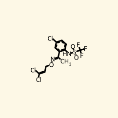 C/C(=N\OCC=C(Cl)Cl)c1cc(Cl)ccc1NS(=O)(=O)C(F)(F)F